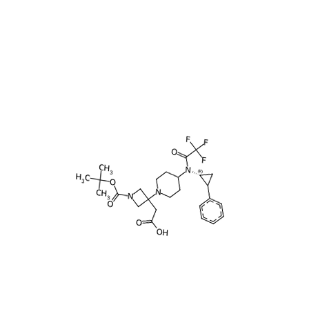 CC(C)(C)OC(=O)N1CC(CC(=O)O)(N2CCC(N(C(=O)C(F)(F)F)[C@@H]3CC3c3ccccc3)CC2)C1